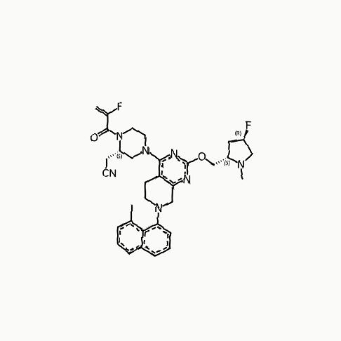 C=C(F)C(=O)N1CCN(c2nc(OC[C@@H]3C[C@@H](F)CN3C)nc3c2CCN(c2cccc4cccc(C)c24)C3)C[C@@H]1CC#N